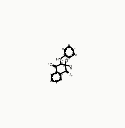 O=C1c2ccccc2C(=O)C(Cl)(Cl)C1Nc1ccccc1